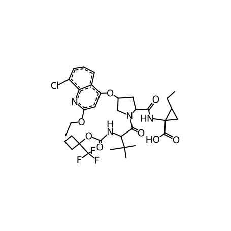 CCOc1cc(OC2CC(C(=O)NC3(C(=O)O)CC3CC)N(C(=O)C(NC(=O)OC3(C(F)(F)F)CCC3)C(C)(C)C)C2)c2cccc(Cl)c2n1